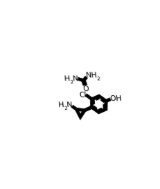 NC(N)=O.NC1CC1c1ccc(O)cc1Cl